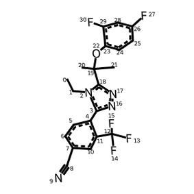 CCn1c(-c2ccc(C#N)cc2C(F)(F)F)nnc1C(C)(C)Oc1ccc(F)cc1F